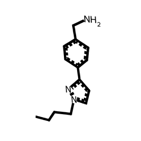 CCCCn1ccc(-c2ccc(CN)cc2)n1